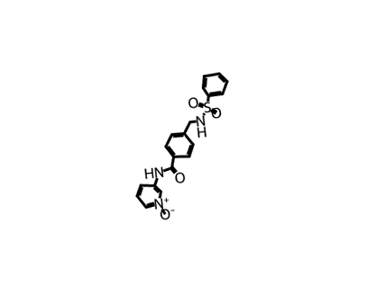 O=C(Nc1ccc[n+]([O-])c1)c1ccc(CNS(=O)(=O)c2ccccc2)cc1